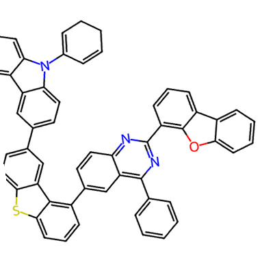 C1=CC(n2c3ccccc3c3cc(-c4ccc5sc6cccc(-c7ccc8nc(-c9cccc%10c9oc9ccccc9%10)nc(-c9ccccc9)c8c7)c6c5c4)ccc32)=CCC1